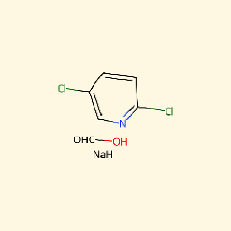 Clc1ccc(Cl)nc1.O=CO.[NaH]